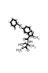 COC(=O)C(C)(CO)NC(=O)c1c(C)nn2ccc(OCc3ccccc3F)cc12